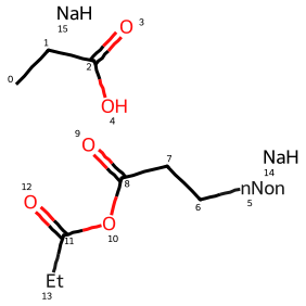 CCC(=O)O.CCCCCCCCCCCC(=O)OC(=O)CC.[NaH].[NaH]